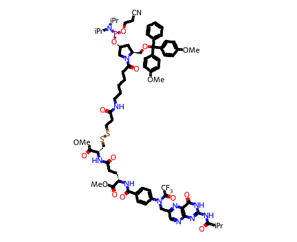 COC(=O)[C@H](CSSCCC(=O)NCCCCCC(=O)N1C[C@H](OP(OCCC#N)N(C(C)C)C(C)C)C[C@H]1COC(c1ccccc1)(c1ccc(OC)cc1)c1ccc(OC)cc1)NC(=O)CC[C@H](NC(=O)c1ccc(N(Cc2cnc3nc(NC(=O)C(C)C)[nH]c(=O)c3n2)C(=O)C(F)(F)F)cc1)C(=O)OC